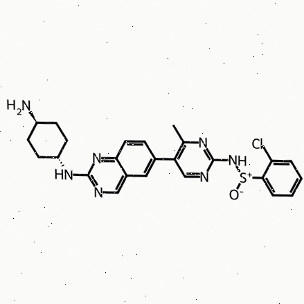 Cc1nc(N[S+]([O-])c2ccccc2Cl)ncc1-c1ccc2nc(N[C@H]3CC[C@H](N)CC3)ncc2c1